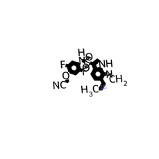 C=Nc1c(/C=C\C)ccc2c(S(=O)(=O)Nc3cc(F)c(OCC#N)cc3F)c[nH]c12